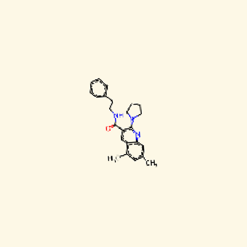 Cc1cc(C)c2cc(C(=O)NCCc3ccccc3)c(N3CCCC3)nc2c1